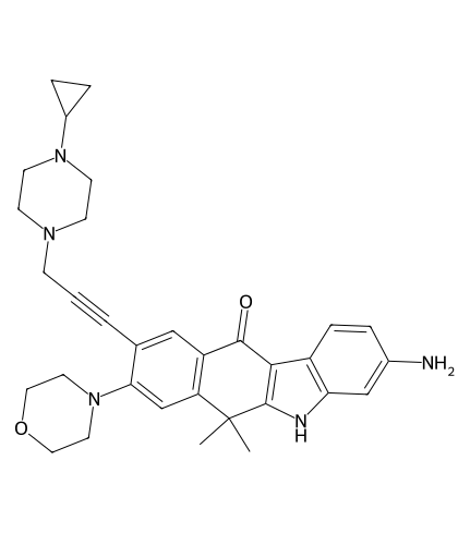 CC1(C)c2cc(N3CCOCC3)c(C#CCN3CCN(C4CC4)CC3)cc2C(=O)c2c1[nH]c1cc(N)ccc21